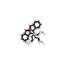 C=C[CH2][Zr](=[CH]C)([CH2]C=C)([CH]1C=Cc2ccccc21)[CH]1C=Cc2ccccc21